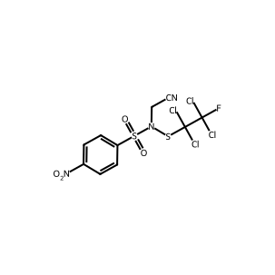 N#CCN(SC(Cl)(Cl)C(F)(Cl)Cl)S(=O)(=O)c1ccc([N+](=O)[O-])cc1